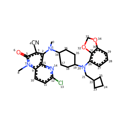 CN(c1c(C#N)c(=O)n(C)c2ccc(Cl)nc12)C1CCC(N(CC2CCC2)c2cccc3c2OCO3)CC1